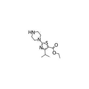 CCOC(=O)c1sc(N2CCNCC2)nc1C(C)C